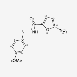 COc1ccc(CNC(=O)c2ccc([N+](=O)[O-])o2)cc1